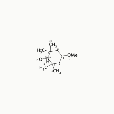 COC1CC(C)(C)[NH+]([O-])C(C)(C)C1